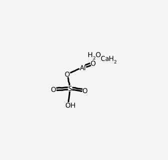 O.[CaH2].[O]=[Al][O]S(=O)(=O)O